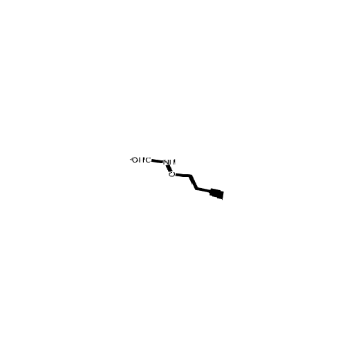 C#CCCON[C]=O